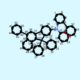 c1ccc(-c2ccccc2N(c2ccccc2)c2ccc3c(c2)C(c2ccccc2)(c2ccccc2)c2c-3cc(-c3ccccc3)c3ccccc23)cc1